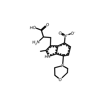 Cc1[nH]c2c(N3CCOCC3)ccc([N+](=O)[O-])c2c1CC(N)C(=O)O